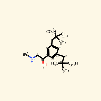 CC(C)NCC(O)c1cc(CC(C)(C)C(=O)O)cc(CC(C)(C)C(=O)O)c1